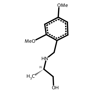 COc1ccc(CN[C@@H](C)CO)c(OC)c1